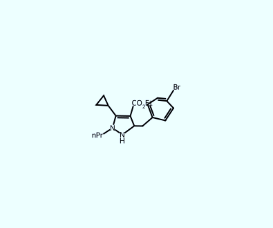 CCCN1NC(Cc2ccc(Br)cc2)C(C(=O)OCC)=C1C1CC1